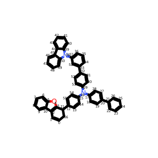 C1=Cc2c(oc3ccccc23)C(c2ccc(N(c3ccc(-c4ccccc4)cc3)c3ccc(-c4cccc(-n5c6ccccc6c6ccccc65)c4)cc3)cc2)C1